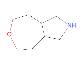 C1CC2CNCC2CCO1